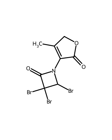 CC1=C(N2C(=O)C(Br)(Br)C2Br)C(=O)OC1